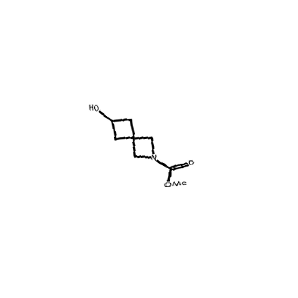 COC(=O)N1CC2(CC(O)C2)C1